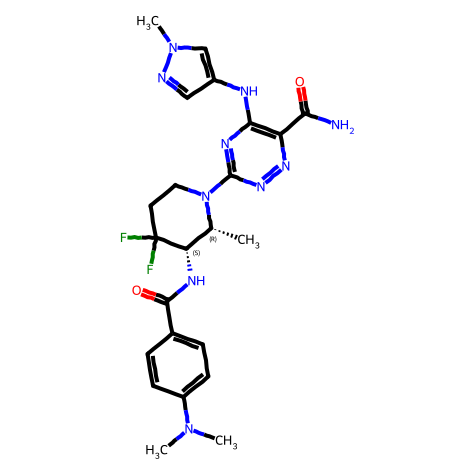 C[C@@H]1[C@H](NC(=O)c2ccc(N(C)C)cc2)C(F)(F)CCN1c1nnc(C(N)=O)c(Nc2cnn(C)c2)n1